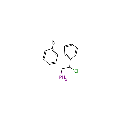 PCC(Cl)c1ccccc1.[Ni][c]1ccccc1